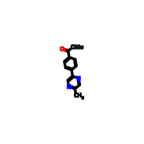 COC(=O)c1ccc(-c2cnc(C)cn2)cc1